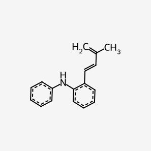 C=C(C)C=Cc1ccccc1Nc1ccccc1